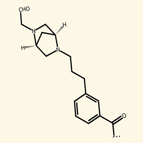 CSC(=O)c1cccc(CCCN2C[C@@H]3C[C@H]2CN3CC=O)c1